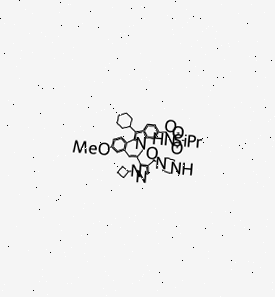 COc1ccc2c(c1)C=C(c1c(C(=O)N3CCNCC3)cnn1C1CCC1)Cn1c-2c(C2CCCCC2)c2ccc(C(=O)NS(=O)(=O)C(C)C)cc21